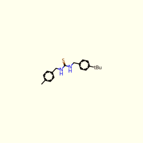 Cc1ccc(CNC(=S)NCc2ccc(C(C)(C)C)cc2)cc1